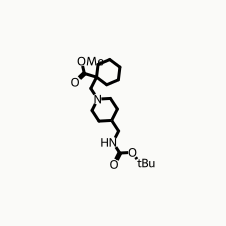 COC(=O)C1(CN2CCC(CNC(=O)OC(C)(C)C)CC2)CCCCC1